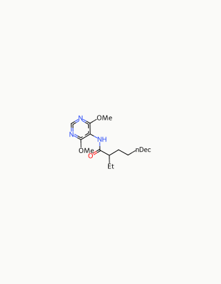 CCCCCCCCCCCCC(CC)C(=O)Nc1c(OC)ncnc1OC